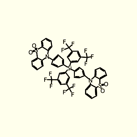 O=S1(=O)c2ccccc2N(c2ccc([Si](c3ccc(N4c5ccccc5S(=O)(=O)c5ccccc54)cc3)(c3cc(C(F)(F)F)cc(C(F)(F)F)c3)c3cc(C(F)(F)F)cc(C(F)(F)F)c3)cc2)c2ccccc21